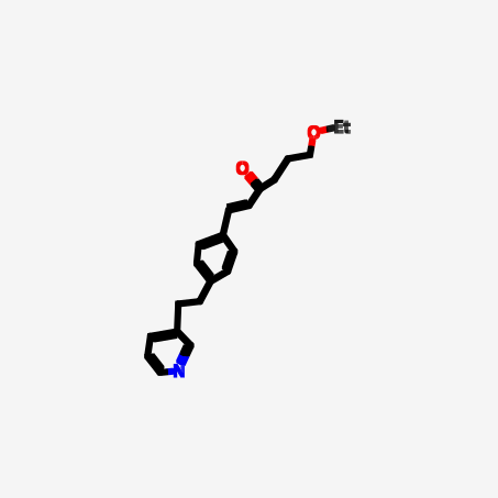 CCOCCCC(=O)C=Cc1ccc(CCc2cccnc2)cc1